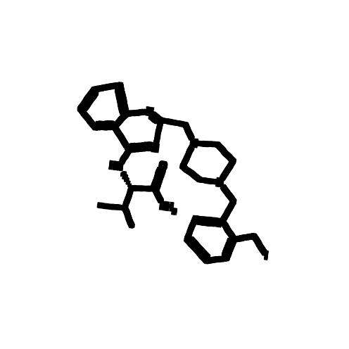 CC(C)[C@H](Nc1nc(CN2CCN(Cc3ccccc3CI)CC2)nc2ccccc12)C(N)=O